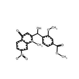 COC(=O)c1ccc(C(O)c2cc(=O)c3ccc([N+](=O)[O-])cc3n2C)c(OC)c1